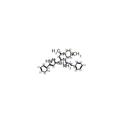 C=C(\C=C(/N=C(N)/C=C/c1ccccc1)Nc1cc(C2=CC=CCC2)[nH]n1)N1CCN(C)CC1